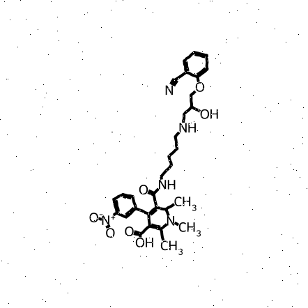 CC1=C(C(=O)O)C(c2cccc([N+](=O)[O-])c2)=C(C(=O)NCCCCCNCC(O)COc2ccccc2C#N)C(C)N1C